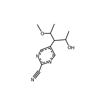 COC(C)C(c1cnc(C#N)nc1)C(C)O